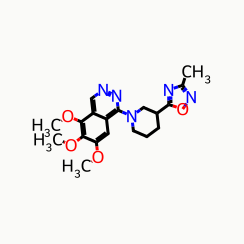 COc1cc2c(N3CCCC(c4nc(C)no4)C3)nncc2c(OC)c1OC